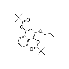 CCCOc1cc(OC(=O)C(C)(C)C)c2ccccc2c1OC(=O)C(C)(C)C